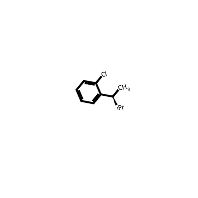 CC(C)[C@H](C)c1ccccc1Cl